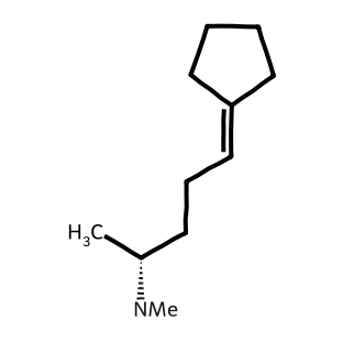 CN[C@H](C)CCC=C1CCCC1